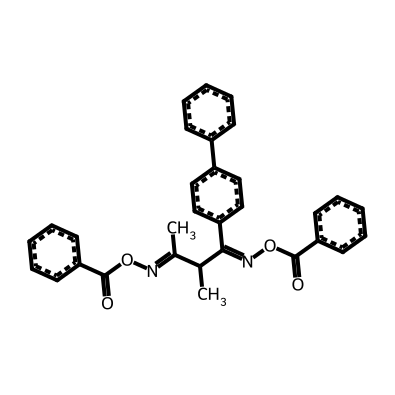 C/C(=N\OC(=O)c1ccccc1)C(C)/C(=N/OC(=O)c1ccccc1)c1ccc(-c2ccccc2)cc1